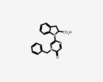 O=C(O)C1Cc2ccccc2N1c1cn(Cc2ccccc2)c(=O)cn1